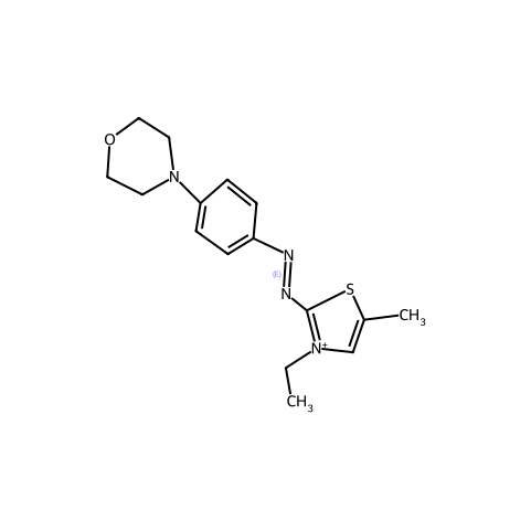 CC[n+]1cc(C)sc1/N=N/c1ccc(N2CCOCC2)cc1